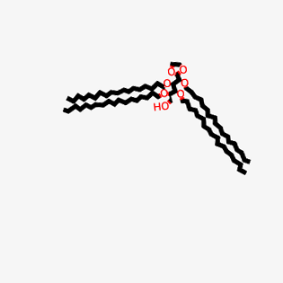 CCCCCCCCCCCCCCCCCCO[C@@H]([C@H](OCCCCCCCCCCCCCCCCCC)[C@@H](OCCCCCCCCCCCCCCCCCC)C1OCCO1)[C@@H](CO)OCCCCCCCCCCCCCCCCCC